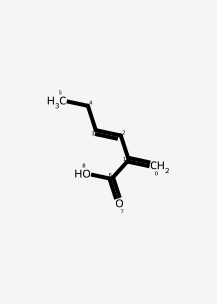 C=C(C=CCC)C(=O)O